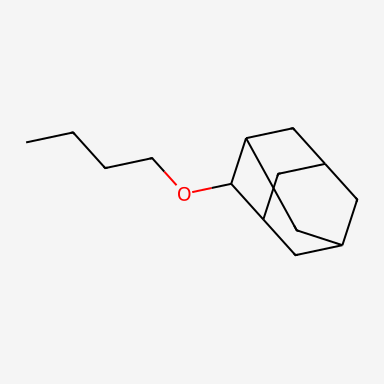 CCCCOC1C2CC3CC(C2)CC1C3